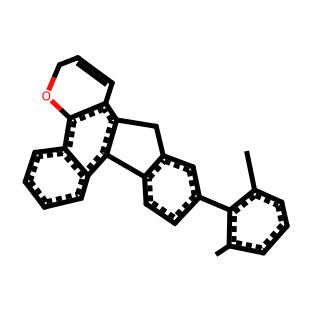 Cc1cccc(C)c1-c1ccc2c(c1)Cc1c3c(c4ccccc4c1-2)OCC=C3